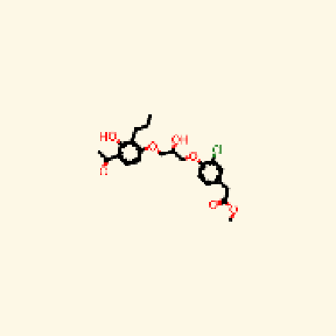 CCCc1c(OCC(O)COc2ccc(CC(=O)OC)cc2Cl)ccc(C(C)=O)c1O